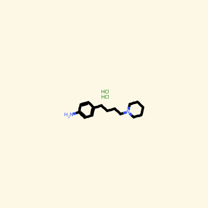 Cl.Cl.Nc1ccc(CCCCN2CCCCC2)cc1